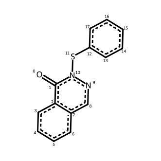 O=c1c2ccccc2cnn1Sc1ccccc1